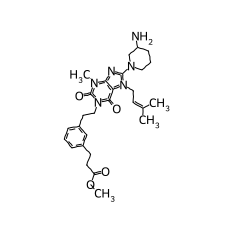 COC(=O)CCc1cccc(CCn2c(=O)c3c(nc(N4CCCC(N)C4)n3CC=C(C)C)n(C)c2=O)c1